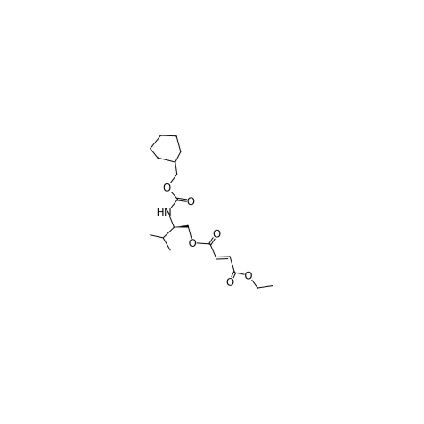 CCOC(=O)/C=C/C(=O)OC[C@H](NC(=O)OCC1CCCCC1)C(C)C